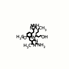 CCCC[C@@H](CCO)Nc1nc(N)nc(C)c1Cc1cc(Cc2nn[nH]n2)ccc1OC